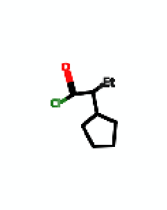 CCC(C(=O)Cl)C1CCCC1